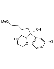 COCCCC[C@@](O)(c1cccc(Cl)c1)C1CNCCO1